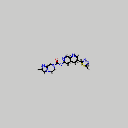 Cc1cn2c(n1)CN(C(=O)Nc1cc3cc(-c4nnc(C)s4)cnc3cn1)CC2